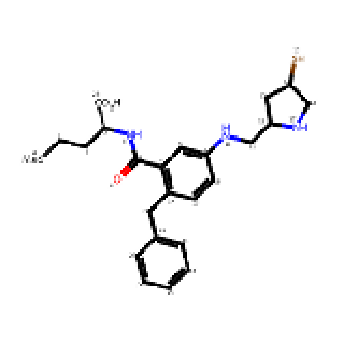 CSCC[C@H](NC(=O)c1cc(NCC2CC(S)CN2)ccc1Cc1ccccc1)C(=O)O